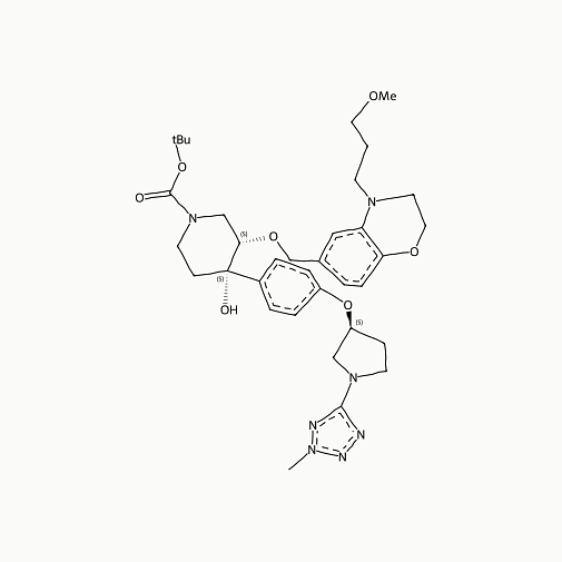 COCCCN1CCOc2ccc(CO[C@H]3CN(C(=O)OC(C)(C)C)CC[C@]3(O)c3ccc(O[C@H]4CCN(c5nnn(C)n5)C4)cc3)cc21